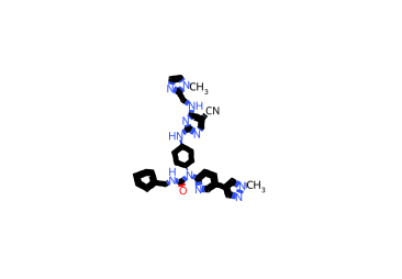 Cn1cc(-c2ccc(N(C(=O)NCc3ccccc3)[C@H]3CC[C@H](Nc4ncc(C#N)c(NCc5nccn5C)n4)CC3)nc2)cn1